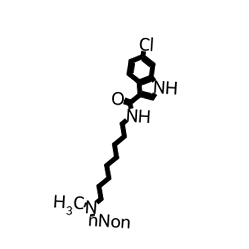 CCCCCCCCCN(C)CCCCCCCCNC(=O)c1c[nH]c2cc(Cl)ccc12